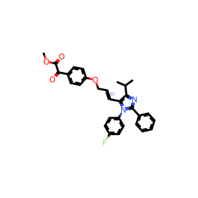 COC(=O)C(=O)c1ccc(OC/C=C/c2c(C(C)C)nc(-c3ccccc3)n2-c2ccc(F)cc2)cc1